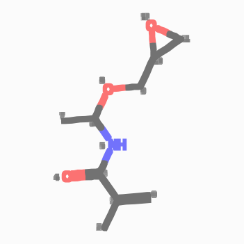 C=C(C)C(=O)NC(C)OCC1CO1